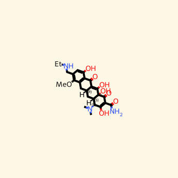 CCNCc1cc(O)c2c(c1OC)C[C@H]1C[C@H]3[C@H](N(C)C)C(O)=C(C(N)=O)C(=O)[C@@]3(O)C(O)=C1C2=O